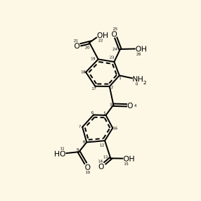 Nc1c(C(=O)c2ccc(C(=O)O)c(C(=O)O)c2)ccc(C(=O)O)c1C(=O)O